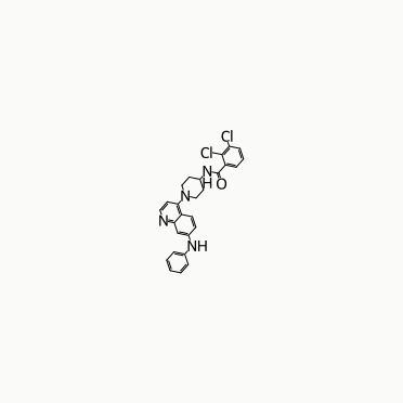 O=C(NC1CCN(c2ccnc3cc(Nc4ccccc4)ccc23)CC1)c1cccc(Cl)c1Cl